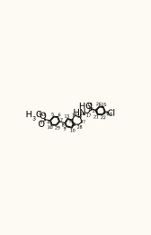 COC(=O)c1ccc(-c2ccc3c(c2)C[C@@H](NC[C@@H](O)c2ccc(Cl)cc2)CC3)cc1